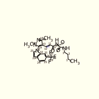 CCCCNS(=O)(=O)NC(=O)/C=C/c1c(C)nn(C)c1-n1ccc2ccc(C(F)(F)F)cc21